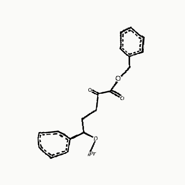 CC(C)OC(CCC(=O)C(=O)OCc1ccccc1)c1ccccc1